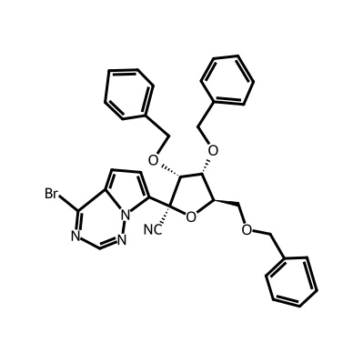 N#C[C@@]1(c2ccc3c(Br)ncnn23)O[C@H](COCc2ccccc2)[C@@H](OCc2ccccc2)[C@H]1OCc1ccccc1